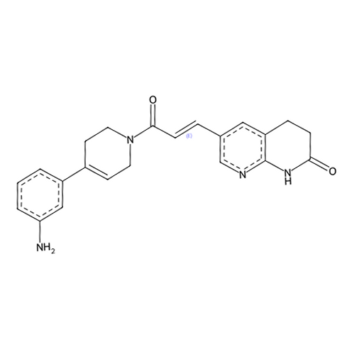 Nc1cccc(C2=CCN(C(=O)/C=C/c3cnc4c(c3)CCC(=O)N4)CC2)c1